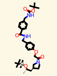 C[C@@H](C[C@@H]1CCN(C(=O)COc2ccc(CNC(=O)c3ccc(CNC(=O)OC(C)(C)C)cc3)cc2)C1)O[Si](C)(C)C(C)(C)C